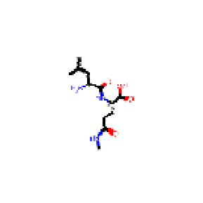 CNC(=O)CC[C@H](NC(=O)[C@@H](N)CC(C)C)C(=O)O